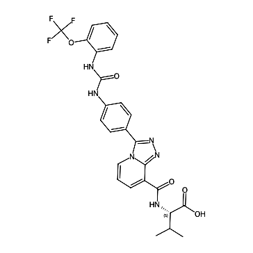 CC(C)[C@H](NC(=O)c1cccn2c(-c3ccc(NC(=O)Nc4ccccc4OC(F)(F)F)cc3)nnc12)C(=O)O